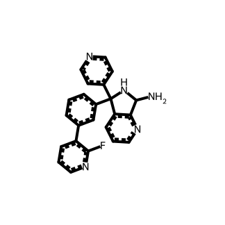 NC1NC(c2ccncc2)(c2cccc(-c3cccnc3F)c2)c2cccnc21